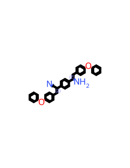 N#C/C(=C\c1ccc(Oc2ccccc2)cc1)c1ccc(/C(N)=C/c2ccc(Oc3ccccc3)cc2)cc1